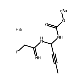 Br.CC#CC(NC(=N)CF)NC(=O)OCCCC